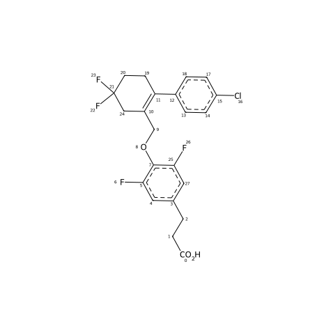 O=C(O)CCc1cc(F)c(OCC2=C(c3ccc(Cl)cc3)CCC(F)(F)C2)c(F)c1